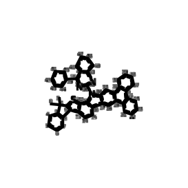 CC1(C)c2ccccc2-c2c1sc1c2ccc2c3cc4c5ccccc5c5ccccc5c4cc3n(-c3nc(-c4ccccc4)c4ccccc4n3)c21